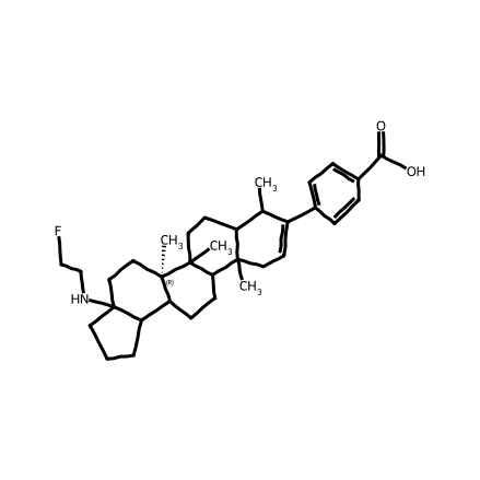 CC1C(c2ccc(C(=O)O)cc2)=CCC2(C)C1CCC1(C)C2CCC2C3CCCC3(NCCF)CC[C@]21C